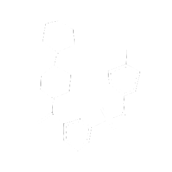 O=C(c1cccc(S(=O)(=O)Nc2ccc(C(F)(F)F)cc2)c1)N1CCC(N2CCCCC2)CC1